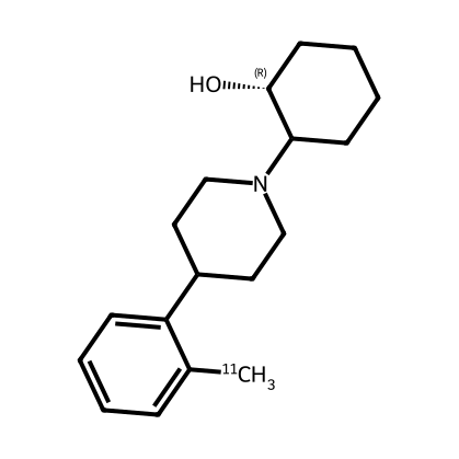 [11CH3]c1ccccc1C1CCN(C2CCCC[C@H]2O)CC1